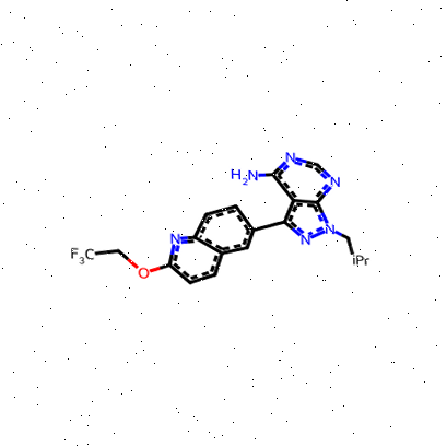 CC(C)Cn1nc(-c2ccc3nc(OCC(F)(F)F)ccc3c2)c2c(N)ncnc21